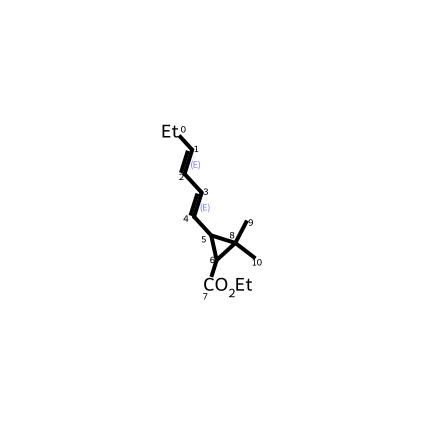 CC/C=C/C=C/C1C(C(=O)OCC)C1(C)C